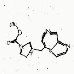 CC(C)(C)OC(=O)N1CC[C@H](Cc2cncc3nccn23)C1